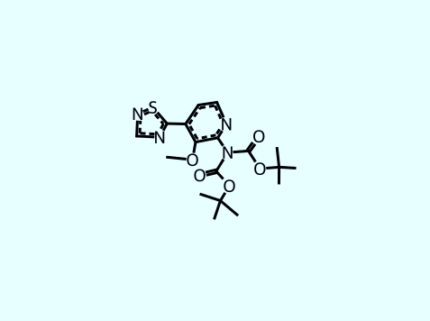 COc1c(-c2ncns2)ccnc1N(C(=O)OC(C)(C)C)C(=O)OC(C)(C)C